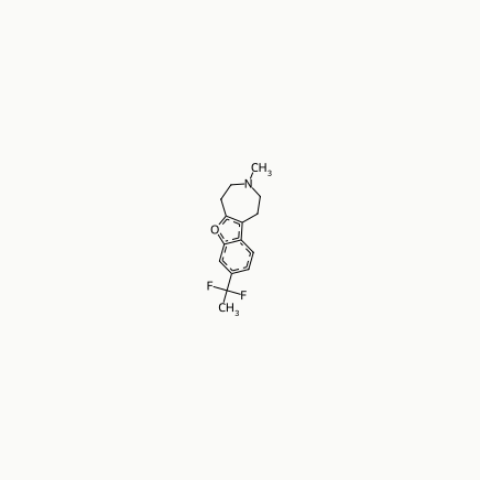 CN1CCc2oc3cc(C(C)(F)F)ccc3c2CC1